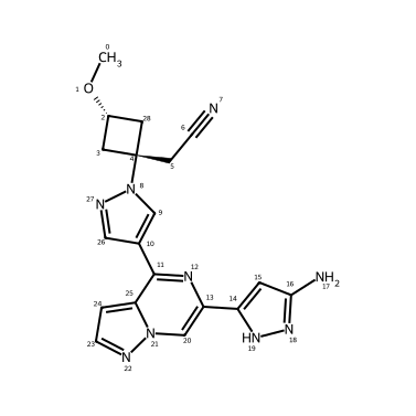 CO[C@H]1C[C@@](CC#N)(n2cc(-c3nc(-c4cc(N)n[nH]4)cn4nccc34)cn2)C1